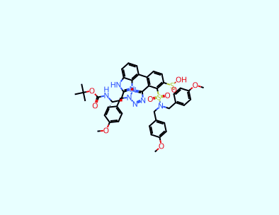 COc1ccc(CN(Cc2ccc(OC)cc2)S(=O)(=O)c2c(S(=O)O)ccc(-c3cccc4[nH]c(C[C@H](C)NC(=O)OC(C)(C)C)nc34)c2-c2nnn(Cc3ccc(OC)cc3)n2)cc1